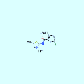 CCCn1cc(C(C)(C)C)s/c1=N\C(=O)c1cc(Cl)ccc1OC